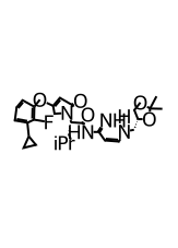 CC(C)C[C@@H](C(=O)NC(=N)/C=C\NC[C@@H]1COC(C)(C)O1)N1CC(Oc2cccc(C3CC3)c2F)=CC1=O